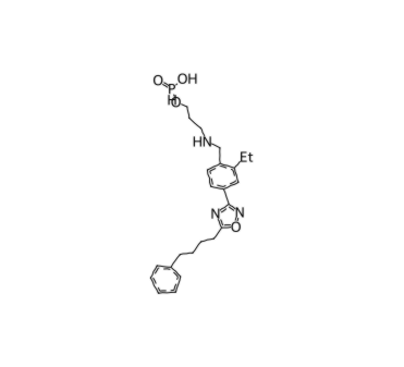 CCc1cc(-c2noc(CCCCc3ccccc3)n2)ccc1CNCCCO[PH](=O)O